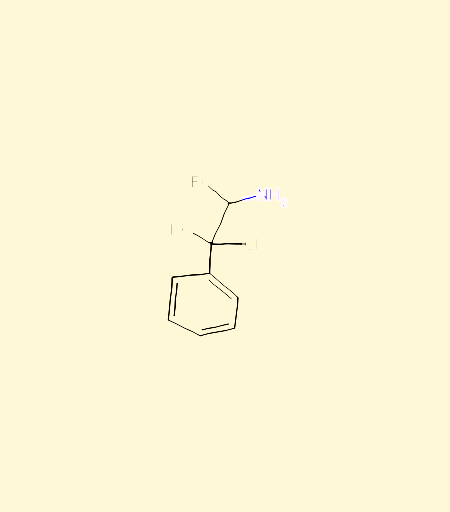 CCC(N)C(C)(C)c1ccccc1